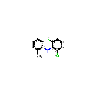 Cc1ccccc1Nc1c(Cl)cccc1Cl